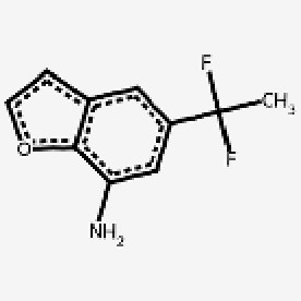 CC(F)(F)c1cc(N)c2occc2c1